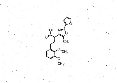 COc1cccc(CCC(C(=O)O)c2nc(-c3ccco3)oc2C)c1OC